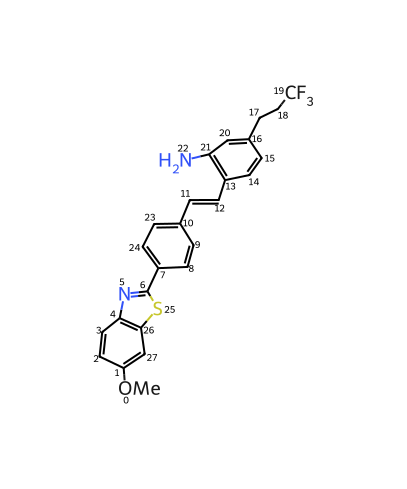 COc1ccc2nc(-c3ccc(C=Cc4ccc(CCC(F)(F)F)cc4N)cc3)sc2c1